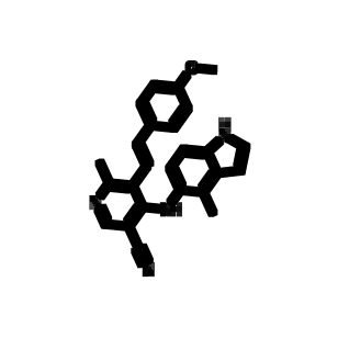 COc1ccc(/C=C/c2c(C)ncc(C#N)c2Nc2ccc3[nH]ccc3c2C)cc1